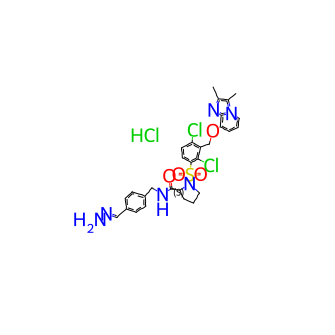 Cc1nc2c(OCc3c(Cl)ccc(S(=O)(=O)N4CCC[C@H]4C(=O)NCc4ccc(C=NN)cc4)c3Cl)cccn2c1C.Cl